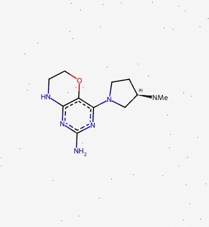 CN[C@@H]1CCN(c2nc(N)nc3c2OCCN3)C1